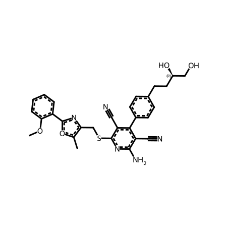 COc1ccccc1-c1nc(CSc2nc(N)c(C#N)c(-c3ccc(CC[C@@H](O)CO)cc3)c2C#N)c(C)o1